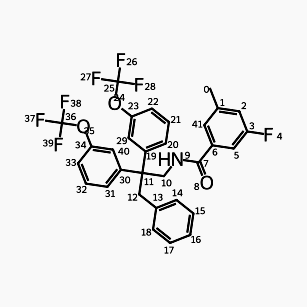 Cc1cc(F)cc(C(=O)NCC(Cc2ccccc2)(c2cccc(OC(F)(F)F)c2)c2cccc(OC(F)(F)F)c2)c1